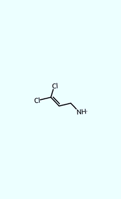 [NH]CC=C(Cl)Cl